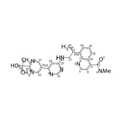 CNC(=O)c1ccnc2c([C@H](C)CNc3cc(-c4cnc(C(C)(C)O)nc4)ncn3)cccc12